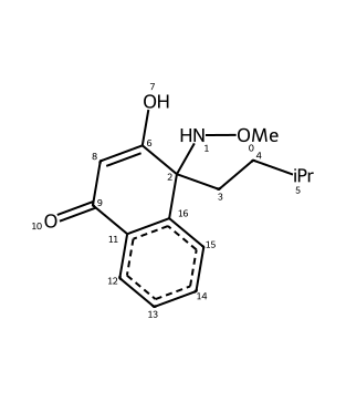 CONC1(CCC(C)C)C(O)=CC(=O)c2ccccc21